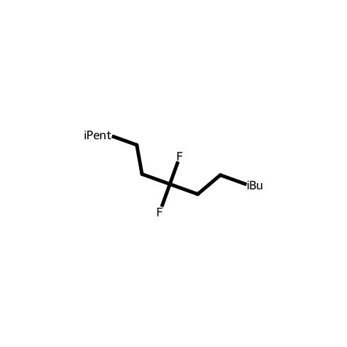 CCCC(C)CCC(F)(F)CCC(C)CC